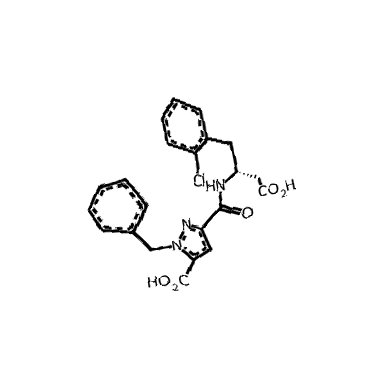 O=C(O)C[C@@H](Cc1ccccc1Cl)NC(=O)c1cc(C(=O)O)n(Cc2ccccc2)n1